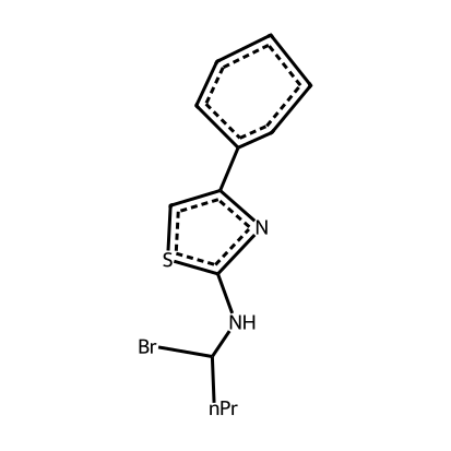 CCCC(Br)Nc1nc(-c2ccccc2)cs1